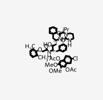 COc1c(OC)c(OC(C)=O)c2cc(Cl)ccc2c1OC(C)=O.Cc1cccc(C)c1OCC(=O)N[C@@H](Cc1ccccc1)[C@@H](O)C[C@H](Cc1ccccc1)NC(=O)[C@H](C(C)C)N1CCCNC1=O